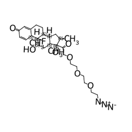 C[C@@H]1C[C@H]2[C@@H]3CCC4=CC(=O)C=C[C@]4(C)[C@@]3(F)[C@@H](O)C[C@]2(C)[C@@]1(O)C(=O)COCCOCCOCCN=[N+]=[N-]